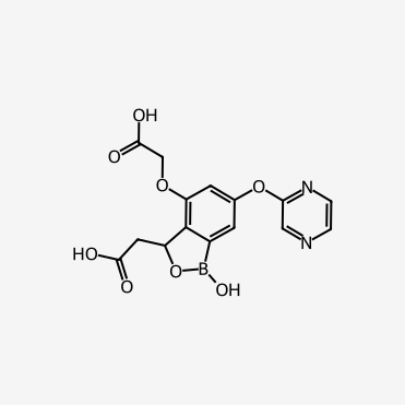 O=C(O)COc1cc(Oc2cnccn2)cc2c1C(CC(=O)O)OB2O